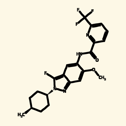 COc1cc2nn([C@H]3CC[C@H](C)CC3)c(F)c2cc1NC(=O)c1cccc(C(F)(F)F)n1